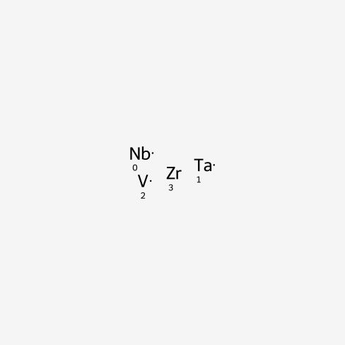 [Nb].[Ta].[V].[Zr]